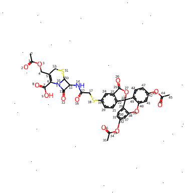 CC(=O)OCC1=C(C(=O)O)N2C(=O)C(NC(=O)CSc3ccc4c(c3)C(=O)OC43c4ccc(OC(C)=O)cc4Oc4cc(OC(C)=O)ccc43)C2SC1